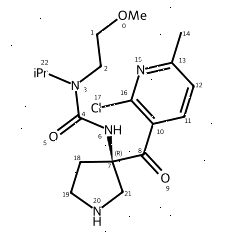 COCCN(C(=O)N[C@]1(C(=O)c2ccc(C)nc2Cl)CCNC1)C(C)C